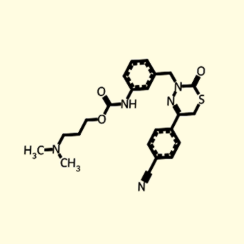 CN(C)CCCOC(=O)Nc1cccc(CN2N=C(c3ccc(C#N)cc3)CSC2=O)c1